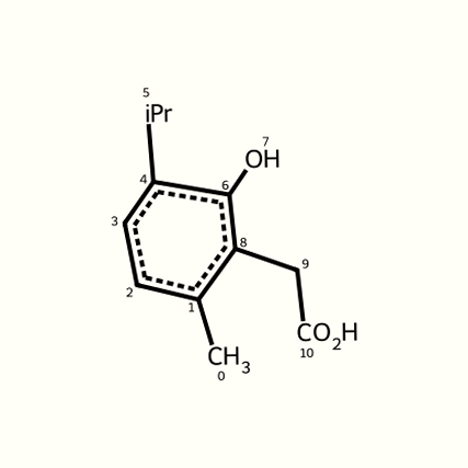 Cc1ccc(C(C)C)c(O)c1CC(=O)O